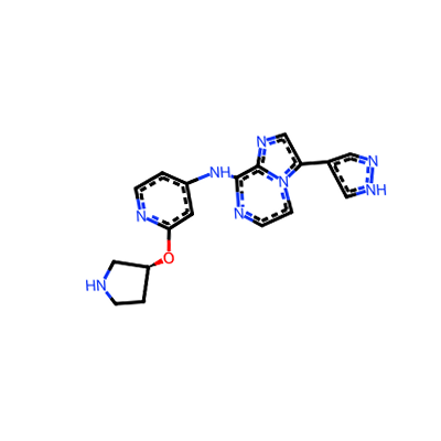 c1cc(Nc2nccn3c(-c4cn[nH]c4)cnc23)cc(O[C@H]2CCNC2)n1